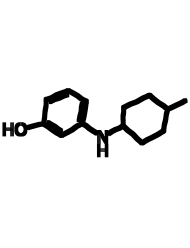 CC1CCC(Nc2cccc(O)c2)CC1